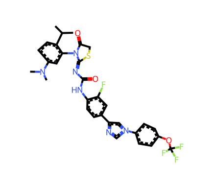 CC(C)c1ccc(N(C)C)cc1N1C(=O)CS/C1=N\C(=O)Nc1ccc(-c2cn(-c3ccc(OC(F)(F)F)cc3)cn2)cc1F